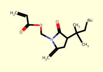 C=CC(=O)OCN1C(=C)CC(C(C)(C)CC(C)CC)C1=O